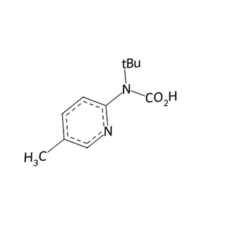 Cc1ccc(N(C(=O)O)C(C)(C)C)nc1